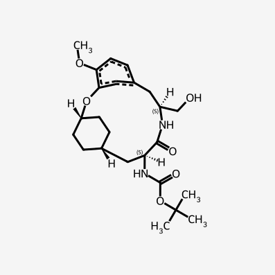 COc1ccc2cc1O[C@H]1CC[C@H](CC1)C[C@H](NC(=O)OC(C)(C)C)C(=O)N[C@H](CO)C2